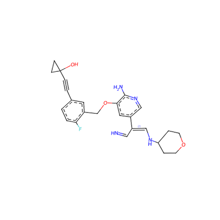 N=C/C(=C\NC1CCOCC1)c1cnc(N)c(OCc2cc(C#CC3(O)CC3)ccc2F)c1